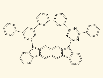 c1ccc(-c2cc(-c3ccccc3)cc(-n3c4ccccc4c4cc5cc6c7ccccc7n(-c7nc(-c8ccccc8)nc(-c8ccccc8)n7)c6cc5cc43)c2)cc1